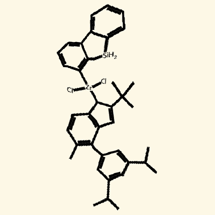 Cc1ccc2c(c1-c1cc(C(C)C)cc(C(C)C)c1)C=C(C(C)(C)C)[CH]2[Zr]([Cl])([Cl])[c]1cccc2c1[SiH2]c1ccccc1-2